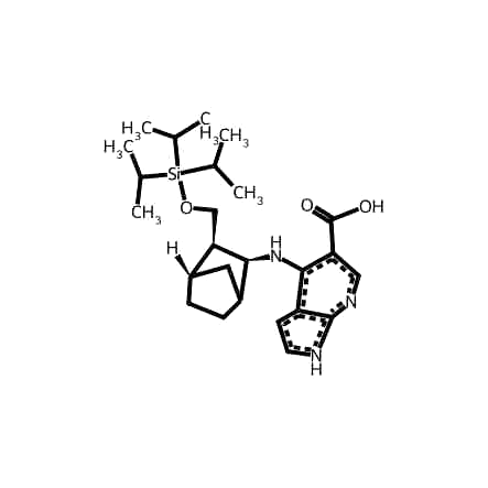 CC(C)[Si](OC[C@@H]1[C@H]2CCC(C2)[C@@H]1Nc1c(C(=O)O)cnc2[nH]ccc12)(C(C)C)C(C)C